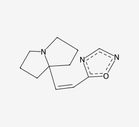 C(=C/C12CCCN1CCC2)/c1ncno1